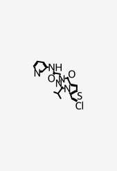 CC(C)c1nn(CC(=O)Nc2cccnc2)c(=O)c2cc3sc(Cl)cc3n12